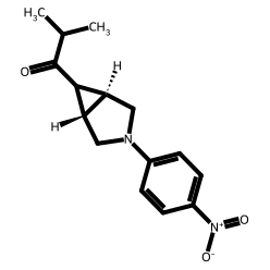 CC(C)C(=O)C1[C@H]2CN(c3ccc([N+](=O)[O-])cc3)C[C@H]12